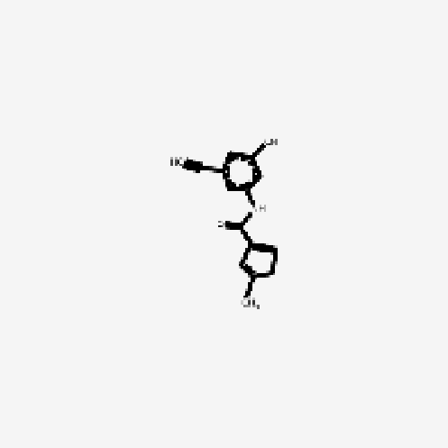 C#Cc1cc(C#N)cc(NC(=O)C2=CCC(C)=C2)c1